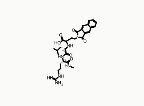 CNC(=O)[C@H](CCCNC(=N)N)NC(=O)[C@H](CC(C)C)NC(CCN1C(=O)c2cc3ccccc3cc2C1=O)C(=O)O